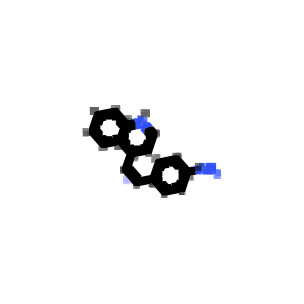 Nc1ccc(/C=C\c2ccnc3ccccc23)cc1